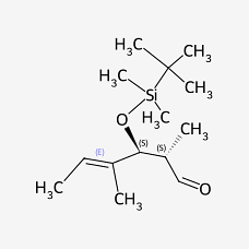 C/C=C(\C)[C@@H](O[Si](C)(C)C(C)(C)C)[C@H](C)C=O